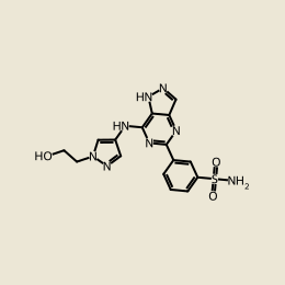 NS(=O)(=O)c1cccc(-c2nc(Nc3cnn(CCO)c3)c3[nH]ncc3n2)c1